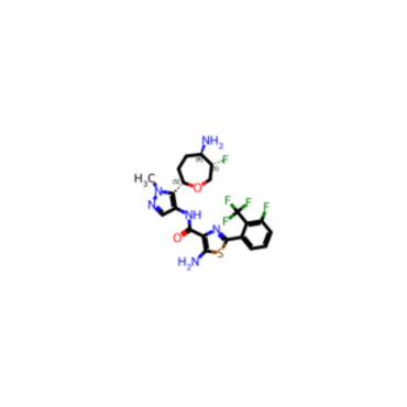 Cn1ncc(NC(=O)c2nc(-c3cccc(F)c3C(F)(F)F)sc2N)c1[C@@H]1CC[C@@H](N)[C@H](F)CO1